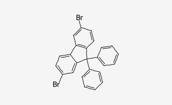 Brc1ccc2c(c1)-c1ccc(Br)cc1C2(c1ccccc1)c1ccccc1